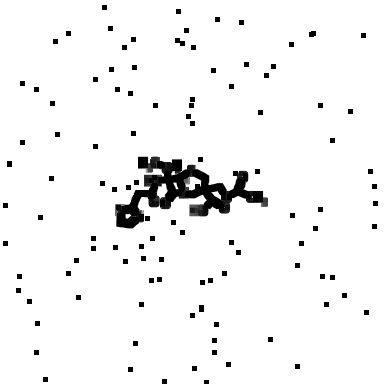 COC1(NC(=O)Cc2nccs2)C(=O)N2CC(COC(C)=O)(C(=O)O)CS[C@@H]21